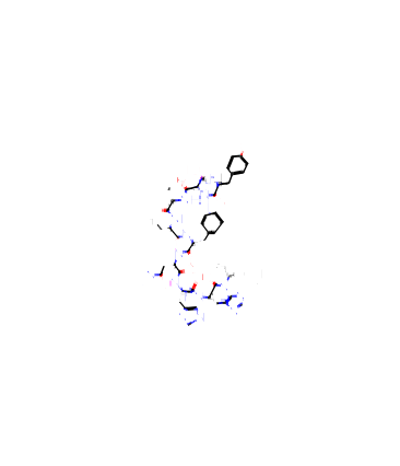 CC[C@H](C)[C@H](NC(=O)[C@H](Cc1c[nH]cn1)NC(=O)[C@H](Cc1c[nH]cn1)NC(=O)[C@H](CC(N)=O)NC(=O)[C@H](Cc1ccccc1)NC(=O)[C@H](CC(C)C)NC(=O)[C@H](CC(C)C)NC(=O)[C@@H](NC(=O)[C@@H](N)Cc1ccc(O)cc1)[C@@H](C)O)C(=O)O